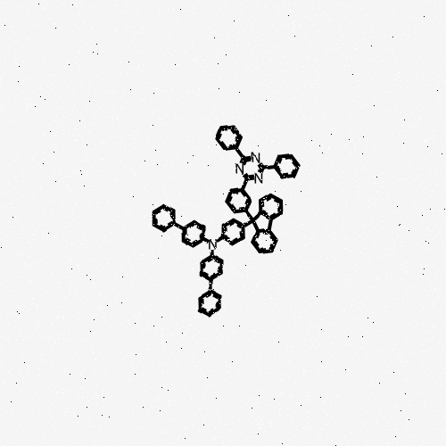 c1ccc(-c2ccc(N(c3ccc(-c4ccccc4)cc3)c3ccc(C4(c5cccc(-c6nc(-c7ccccc7)nc(-c7ccccc7)n6)c5)c5ccccc5-c5ccccc54)cc3)cc2)cc1